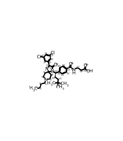 CCCCN1CCC2(CC1)N=C(c1cc(Cl)cc(Cl)c1)C(=O)N2[C@H](CCC(C)(C)C)c1ccc(C(=O)NCCC(=O)O)cc1